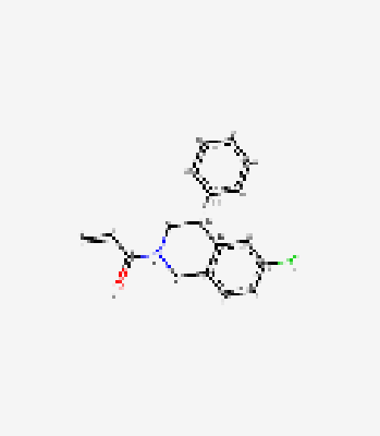 C=CC(=O)N1Cc2ccc(Cl)cc2[C@@H](c2ccccc2)C1